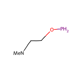 CNCCOP